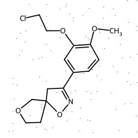 COc1ccc(C2=NOC3(CCOC3)C2)cc1OCCCl